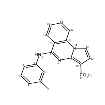 Cc1cccc(Nc2nc3c(C(=O)O)ccn3c3cnccc23)c1